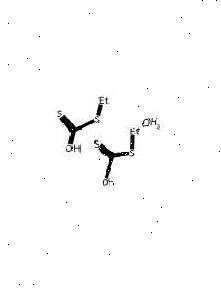 CCSC(O)=S.CCSC(O)=S.O